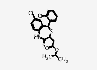 CC(C)OC(=O)CC1SC(c2ccccc2Cl)c2cc(Cl)ccc2NC1=S